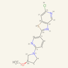 CO[C@@H]1CCN(c2ccc(-c3nc4cnc(Cl)cc4s3)cn2)C1